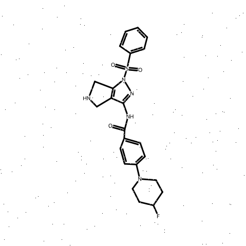 O=C(Nc1nn(S(=O)(=O)c2ccccc2)c2c1CNC2)c1ccc(N2CCC(F)CC2)cc1